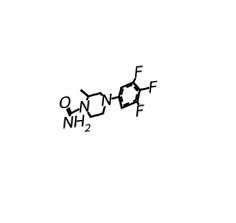 CC1CN(c2cc(F)c(F)c(F)c2)CCN1C(N)=O